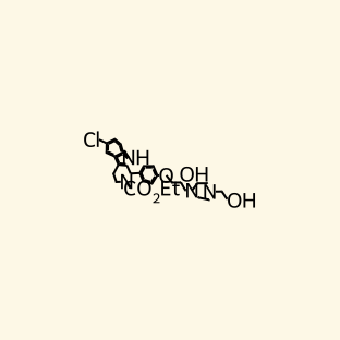 CCOC(=O)N1CCc2c([nH]c3ccc(Cl)cc23)C1c1ccc(OCC(O)CN2CCN(CCO)CC2)cc1